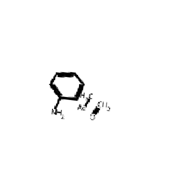 C=O.CC(C)=O.Nc1ccccc1